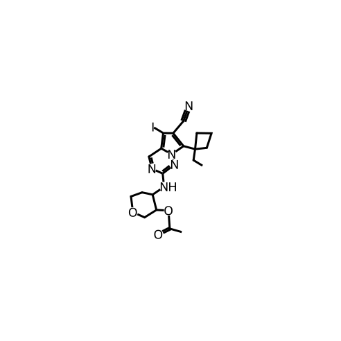 CCC1(c2c(C#N)c(I)c3cnc(NC4CCOCC4OC(C)=O)nn23)CCC1